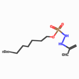 C=C(C=O)NNS(=O)(=O)OCCCCCCCCCCCCCCCC